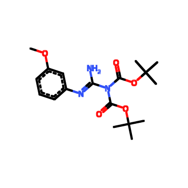 COc1cccc(N=C(N)N(C(=O)OC(C)(C)C)C(=O)OC(C)(C)C)c1